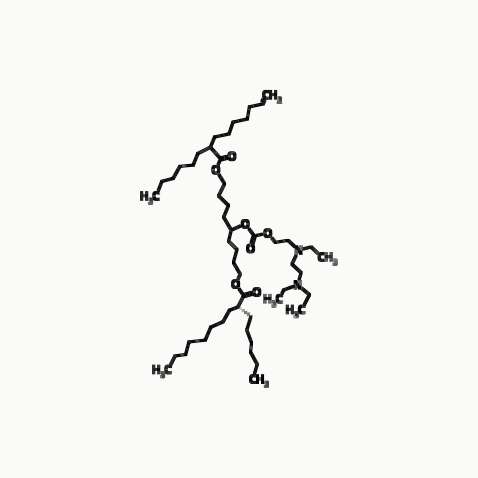 C=CCCCCCC(CCCCCC)C(=O)OCCCCC(CCCCOC(=O)[C@H](CCCCCC)CCCCCCCC)OC(=O)OCCN(CC)CCN(CC)CC